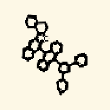 C1=CC2=C(CC1)c1c(oc3c(-c4c5ccccc5c(-c5cc(-c6ccccc6)cc(-c6ccccc6)c5)c5ccccc45)c4ccccc4cc13)CC2